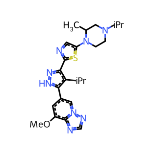 COc1cc(-c2[nH]nc(-c3ncc(N4CCN(C(C)C)CC4C)s3)c2C(C)C)cn2ncnc12